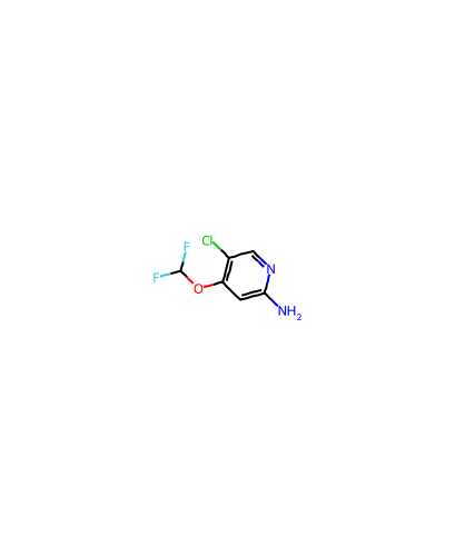 Nc1cc(OC(F)F)c(Cl)cn1